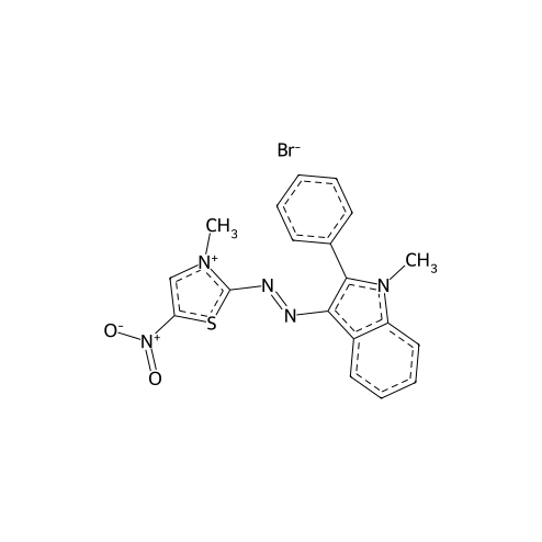 Cn1c(-c2ccccc2)c(N=Nc2sc([N+](=O)[O-])c[n+]2C)c2ccccc21.[Br-]